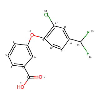 O=C(O)c1cccc(Oc2ccc(C(F)F)cc2Cl)c1